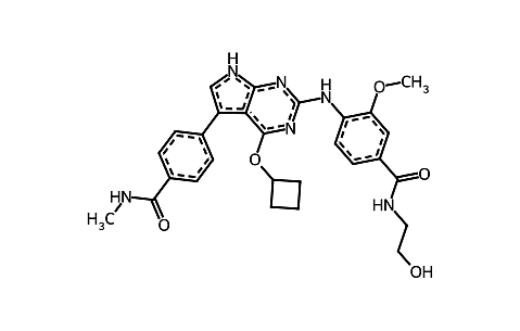 CNC(=O)c1ccc(-c2c[nH]c3nc(Nc4ccc(C(=O)NCCO)cc4OC)nc(OC4CCC4)c23)cc1